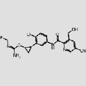 N#Cc1cnc(C(=O)Nc2ccc(Cl)c([C@H]3C[C@H]3O/C(N)=N\CF)c2)c(CO)c1